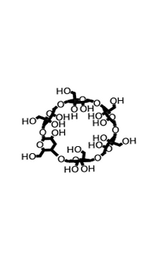 OCC1OC2OC3C(CO)OC(OC4C(CO)OC(OC5C(CO)OC(OC6C(CO)OC(OC7C(CO)OC(OC1CC2O)C(O)C7O)C(O)C6O)C(O)C5O)C(O)C4O)C(O)C3O